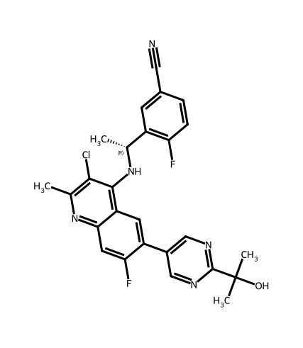 Cc1nc2cc(F)c(-c3cnc(C(C)(C)O)nc3)cc2c(N[C@H](C)c2cc(C#N)ccc2F)c1Cl